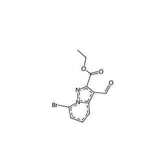 CCOC(=O)c1nn2c(Br)cccc2c1C=O